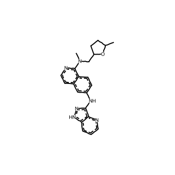 CC1CCC(CN(C)c2nccc3cc(Nc4n[nH]c5cccnc45)ccc23)O1